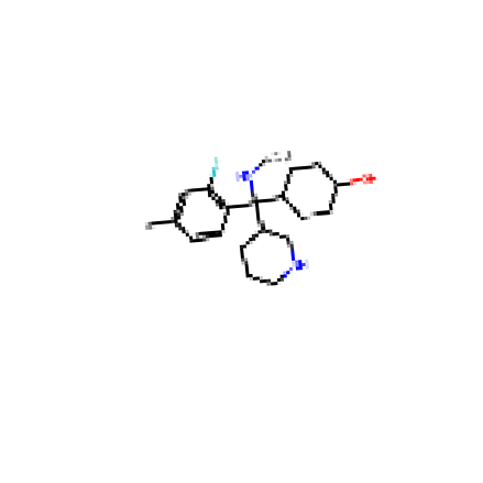 Cc1ccc(C(NC(=O)O)(C2CCC(O)CC2)C2CCCNC2)c(F)c1